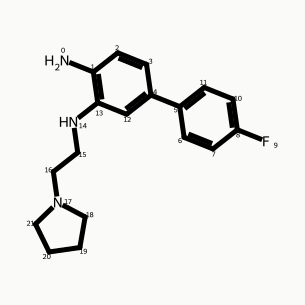 Nc1ccc(-c2ccc(F)cc2)cc1NCCN1CCCC1